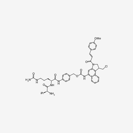 COc1ccc(/C=C/C(=O)N2CC(CCl)c3c2cc(NC(=O)OCc2ccc(NC(=O)[C@H](CCCNC(N)=O)NC(=O)[C@@H](N)C(C)C)cc2)c2ccccc32)cc1